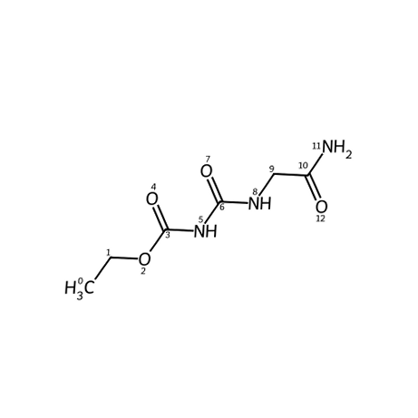 CCOC(=O)NC(=O)NCC(N)=O